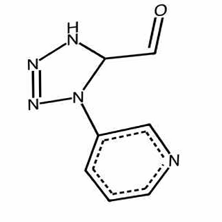 O=CC1NN=NN1c1cccnc1